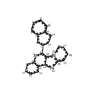 c1ccc2cc(-c3nc4ccccc4c4nc5ccccn5c34)ccc2c1